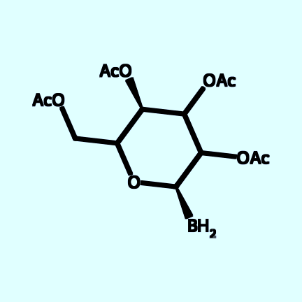 B[C@H]1OC(COC(C)=O)[C@@H](OC(C)=O)C(OC(C)=O)C1OC(C)=O